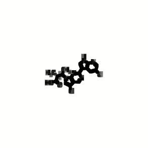 C[C@H]([C@@H](C)C(=O)O)n1cc(Cl)c2cnc(-c3c[nH]c4ncc(Cl)cc34)nc21